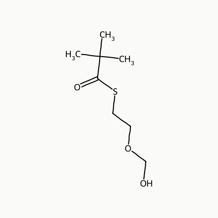 CC(C)(C)C(=O)SCCOCO